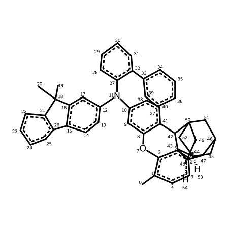 Cc1ccccc1Oc1cc(N(c2ccc3c(c2)C(C)(C)c2ccccc2-3)c2ccccc2-c2ccccc2)ccc1C1C2[C@@H]3CC4C[C@@H]2CC1(C4)C3